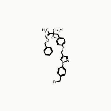 CC(=NOCc1ccccc1)C(C)(Cc1ccc(OCc2cnn(-c3ccc(CC(C)C)cc3)c2)cc1)C(=O)O